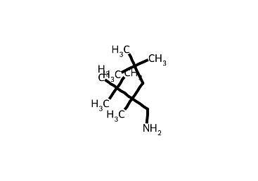 CC(C)(C)CC(C)(CN)C(C)(C)C